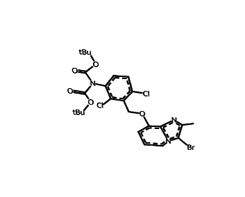 Cc1nc2c(OCc3c(Cl)ccc(N(C(=O)OC(C)(C)C)C(=O)OC(C)(C)C)c3Cl)cccn2c1Br